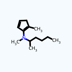 CCCCC(C)N(C)C1=C(C)CC=C1